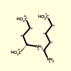 NCCCCC(=O)O.N[C@@H](CCC(=O)O)C(=O)O